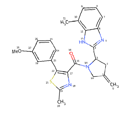 C=C1CC(c2nc3cccc(C)c3[nH]2)N(C(=O)c2nc(C)sc2-c2cccc(OC)c2)C1